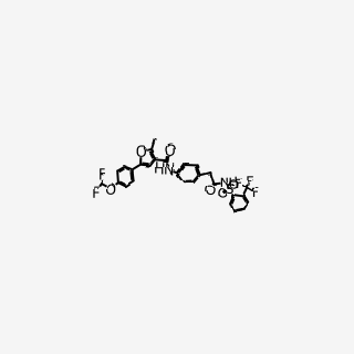 Cc1oc(-c2ccc(OC(F)F)cc2)cc1C(=O)Nc1ccc(CC(=O)NS(=O)(=O)c2ccccc2C(F)(F)F)cc1